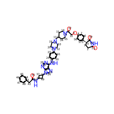 O=C1CC[C@@H](c2ccc(OCC(=O)N3CCC(CN4CCN(c5ccc(Nc6ncnc7c6ncn7C6CC(NC(=O)Cc7ccccc7)C6)cc5)CC4)CC3)cc2)C(=O)N1